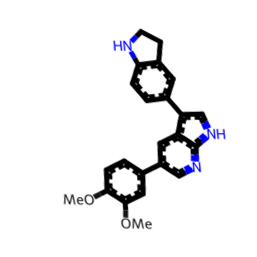 COc1ccc(-c2cnc3[nH]cc(-c4ccc5c(c4)CCN5)c3c2)cc1OC